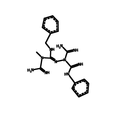 CN(C(=N)N)C(=NN(C(=N)N)C(=N)Nc1ccccc1)NCc1ccccc1